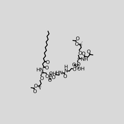 CCCCCCCCCCCC(=O)CC(=O)N[C@H](COCC[C@@H](C)OC(C)=O)COP(=O)(O)OCCNC(=O)NCCOP(=O)(O)OC[C@@H](COCC[C@@H](C)OC(C)=O)NC(=O)CC(C)=O